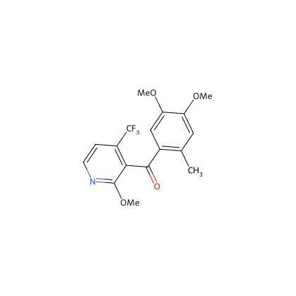 COc1cc(C)c(C(=O)c2c(C(F)(F)F)ccnc2OC)cc1OC